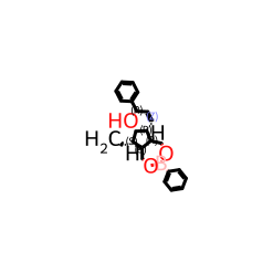 C=C[C@@H]1C[C@H](/C=C\[C@@H](O)c2ccccc2)[C@H]2COB(c3ccccc3)OC[C@H]21